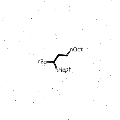 [CH2]CCCC(CCCCCCC)CCCCCCCCCC